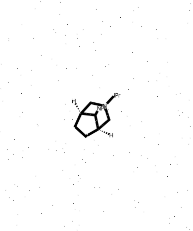 CC(C)N1C[C@H]2CC[C@@H](C1)C2N